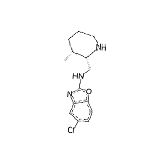 C[C@@H]1CCCN[C@@H]1CNc1nc2cc(Cl)ccc2o1